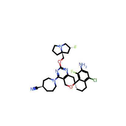 N#C[C@@H]1CCCN(c2nc(OC[C@@]34CCCN3C[C@H](F)C4)nc3c2CO[C@@]2(CCCc4c(Cl)cc(N)c(F)c42)C3)CC1